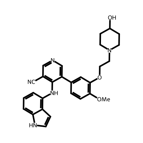 COc1ccc(-c2cncc(C#N)c2Nc2cccc3[nH]ccc23)cc1OCCN1CCC(O)CC1